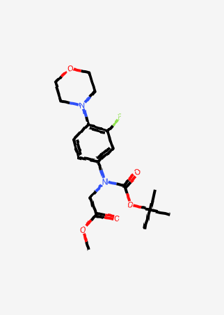 COC(=O)CN(C(=O)OC(C)(C)C)c1ccc(N2CCOCC2)c(F)c1